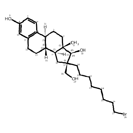 C[C@]12CC[C@@H]3c4ccc(O)cc4CC[C@H]3[C@@H]1C[C@@](CO)(CCCCCCCCBr)[C@@H]2O